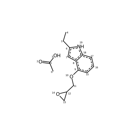 CC(=O)O.CCc1cc2c(OCC3CO3)cccc2[nH]1